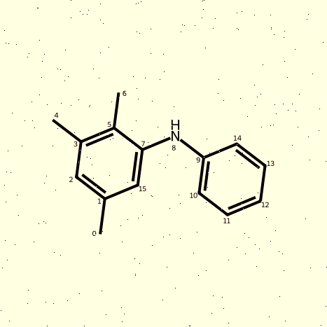 Cc1cc(C)c(C)c(Nc2ccccc2)c1